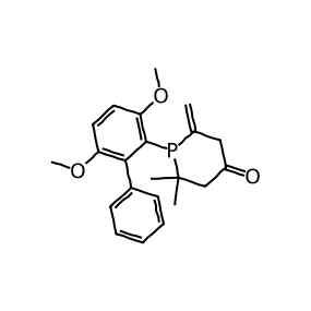 C=C1CC(=O)CC(C)(C)P1c1c(OC)ccc(OC)c1-c1ccccc1